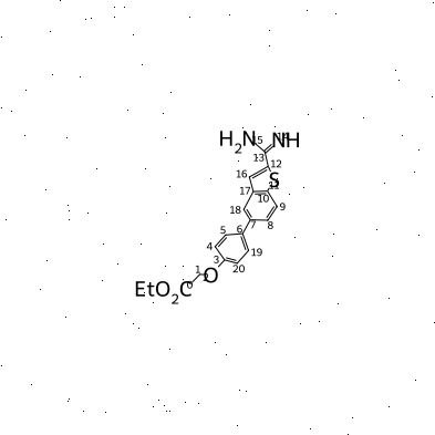 CCOC(=O)COc1ccc(-c2ccc3sc(C(=N)N)cc3c2)cc1